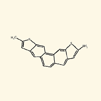 Cc1cc2cc3ccc4cc5cc(N)sc5cc4c3cc2s1